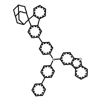 c1ccc(-c2ccc(N(c3ccc(-c4ccc5c(c4)-c4ccccc4C54C5CC6CC(C5)CC4C6)cc3)c3ccc4oc5ccccc5c4c3)cc2)cc1